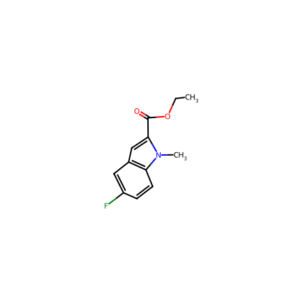 CCOC(=O)c1cc2cc(F)ccc2n1C